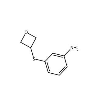 Nc1cccc(SC2COC2)c1